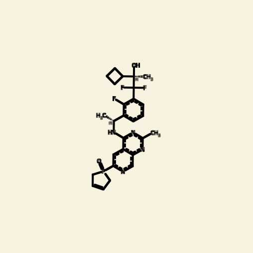 Cc1nc(N[C@H](C)c2cccc(C(F)(F)[C@](C)(O)C3CCC3)c2F)c2cc(P3(=O)CC=CC3)ncc2n1